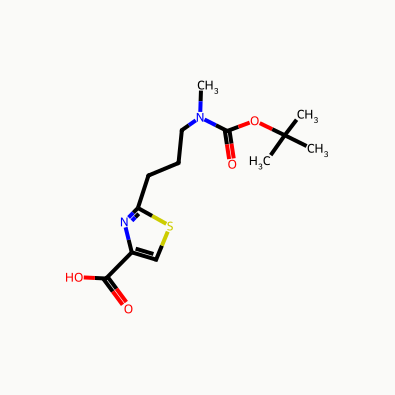 CN(CCCc1nc(C(=O)O)cs1)C(=O)OC(C)(C)C